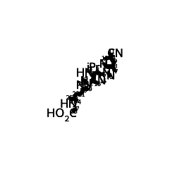 CC(C)Nc1cc(-n2ncc3cc(C#N)cnc32)ncc1-n1cc(CCC(C)(C)NCC(=O)O)nn1